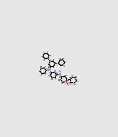 c1ccc(-c2cc(-c3ccccc3)cc(N(c3ccccc3)c3cccc(Nc4ccc5oc6ccccc6c5c4)c3)c2)cc1